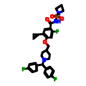 O=C(NS(=O)(=O)N1CCC1)c1cc(C2CC2)c(OCC2CCN(C(c3ccc(F)cc3)c3ccc(F)cc3)CC2)cc1F